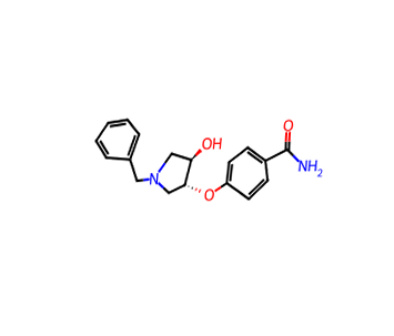 NC(=O)c1ccc(O[C@@H]2CN(Cc3ccccc3)C[C@H]2O)cc1